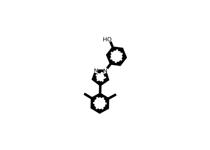 Cc1cccc(C)c1-c1cnn(-c2cccc(O)c2)c1